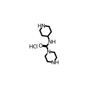 Cl.O=C(NC1CCNCC1)N1CCNCC1